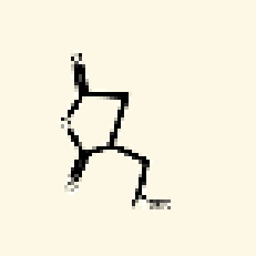 CC[CH]CCCC1CC(=O)OC1=O